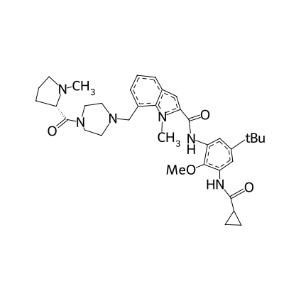 COc1c(NC(=O)c2cc3cccc(CN4CCN(C(=O)[C@@H]5CCCN5C)CC4)c3n2C)cc(C(C)(C)C)cc1NC(=O)C1CC1